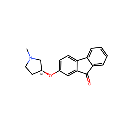 CN1CC[C@H](Oc2ccc3c(c2)C(=O)c2ccccc2-3)C1